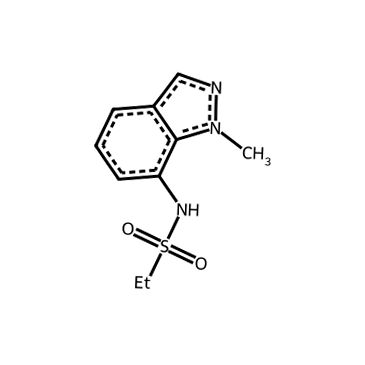 CCS(=O)(=O)Nc1cccc2cnn(C)c12